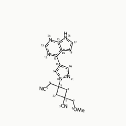 COCC1(C#N)CC(CC#N)(n2cc(-c3ncnc4[nH]ccc34)cn2)C1